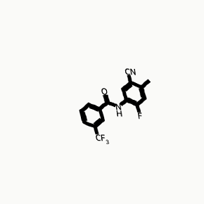 Cc1cc(F)c(NC(=O)c2cccc(C(F)(F)F)c2)cc1C#N